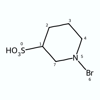 O=S(=O)(O)C1CCCN(Br)C1